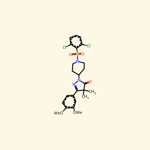 COc1ccc(C2=NN(C3CCN(S(=O)(=O)c4c(Cl)cccc4Cl)CC3)C(=O)C2(C)C)cc1OC